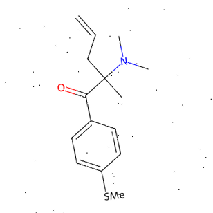 C=CCC(C)(C(=O)c1ccc(SC)cc1)N(C)C